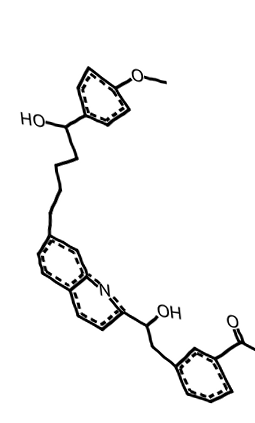 COc1ccc(C(O)CCCCc2ccc3ccc(C(O)Cc4cccc(C(=O)O)c4)nc3c2)cc1